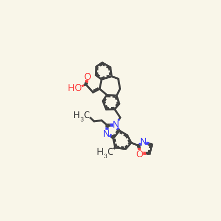 CCCc1nc2c(C)cc(-c3ncco3)cc2n1Cc1ccc2c(c1)CCc1ccccc1C2=CC(=O)O